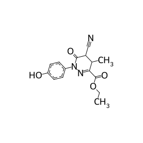 CCOC(=O)C1=NN(c2ccc(O)cc2)C(=O)C(C#N)C1C